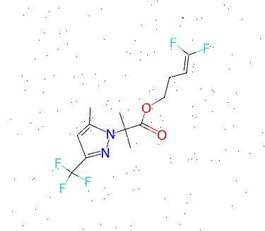 Cc1cc(C(F)(F)F)nn1C(C)(C)C(=O)OCCC=C(F)F